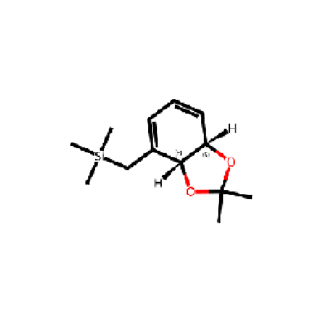 CC1(C)O[C@H]2C=CC=C(C[Si](C)(C)C)[C@H]2O1